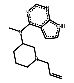 C=CCN1CCCC(N(C)c2ncnc3[nH]ccc23)C1